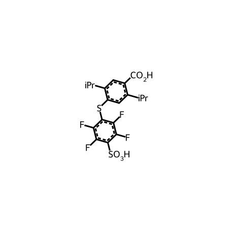 CC(C)c1cc(C(=O)O)c(C(C)C)cc1Sc1c(F)c(F)c(S(=O)(=O)O)c(F)c1F